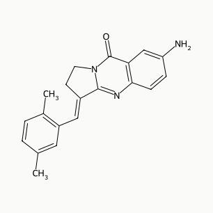 Cc1ccc(C)c(/C=C2\CCn3c2nc2ccc(N)cc2c3=O)c1